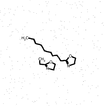 CCC1=NCCO1.CCCCCCCCCC1=NCCO1